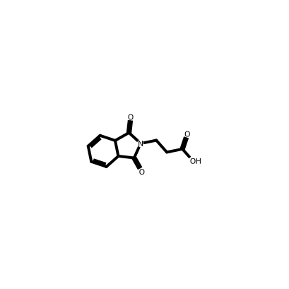 O=C(O)CCN1C(=O)C2C=CC=CC2C1=O